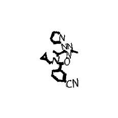 Cc1nc(C(C)N(CC2CC2)C(=O)c2cccc(C#N)c2)n(-c2ccccn2)n1